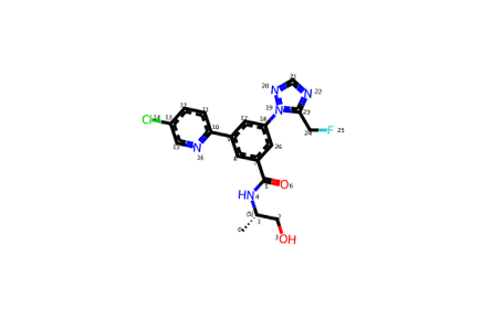 C[C@@H](CO)NC(=O)c1cc(-c2ccc(Cl)cn2)cc(-n2ncnc2CF)c1